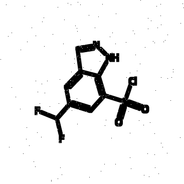 O=S(=O)(Cl)c1cc(C(F)F)cc2cn[nH]c12